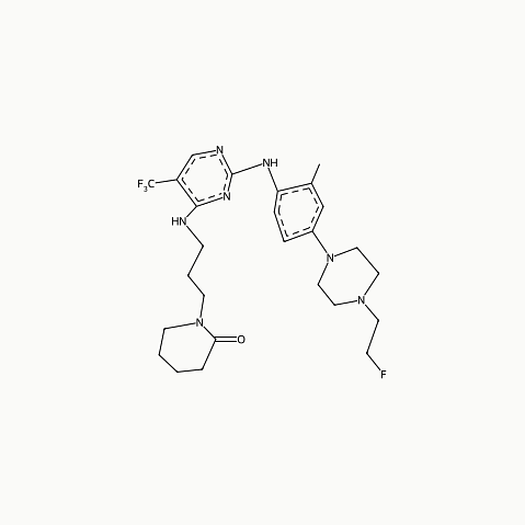 Cc1cc(N2CCN(CCF)CC2)ccc1Nc1ncc(C(F)(F)F)c(NCCCN2CCCCC2=O)n1